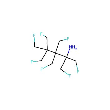 NC(CF)(CF)C(CF)(CF)C(CF)(CF)CF